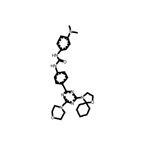 CN(C)c1ccc(NC(=O)Nc2ccc(-c3nc(N4CCOCC4)nc(N4CCOC45CCCCC5)n3)cc2)cc1